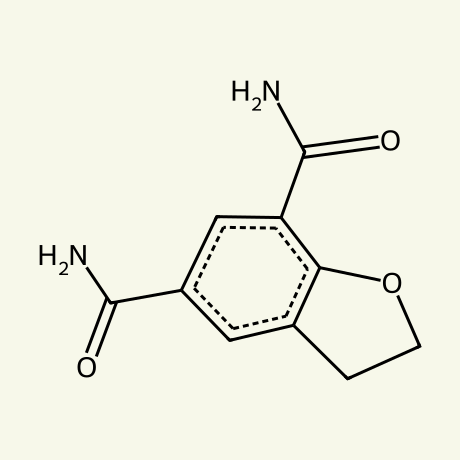 NC(=O)c1cc2c(c(C(N)=O)c1)OCC2